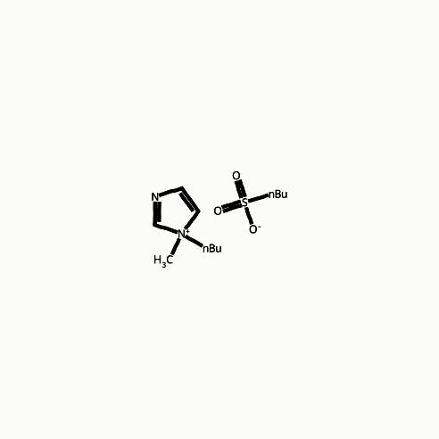 CCCCS(=O)(=O)[O-].CCCC[N+]1(C)C=CN=C1